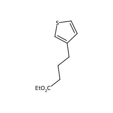 CCOC(=O)CCCc1ccsc1